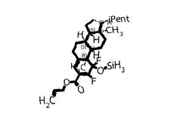 C=CCOC(=O)C1=C(F)C(F)(O[SiH3])[C@@]2(C)C(=C1)CC[C@H]1[C@@H]3CC[C@H]([C@H](C)CCC)[C@@]3(C)CC[C@@H]12